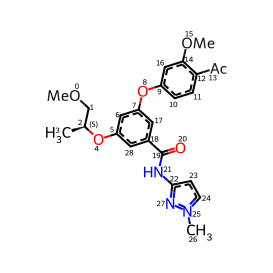 COC[C@H](C)Oc1cc(Oc2ccc(C(C)=O)c(OC)c2)cc(C(=O)Nc2ccn(C)n2)c1